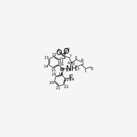 CCCC[C@@]1(CC)CS(=O)(=O)c2ccccc2[C@H](c2ccccc2F)N1